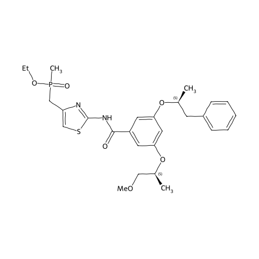 CCOP(C)(=O)Cc1csc(NC(=O)c2cc(O[C@@H](C)COC)cc(O[C@@H](C)Cc3ccccc3)c2)n1